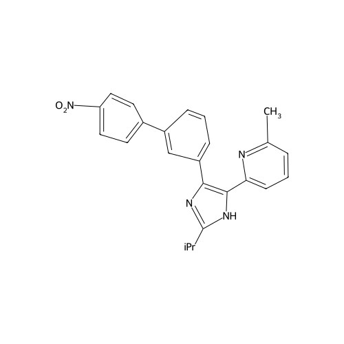 Cc1cccc(-c2[nH]c(C(C)C)nc2-c2cccc(-c3ccc([N+](=O)[O-])cc3)c2)n1